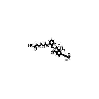 CC(C)N(Cc1ccccc1OCCCCCC(=O)O)C(=O)c1ccc(C#CC(F)(F)F)cc1